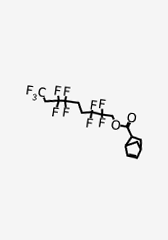 O=C(OCC(F)(F)C(F)(F)CCC(F)(F)C(F)(F)CC(F)(F)F)C1CC2C=CC1C2